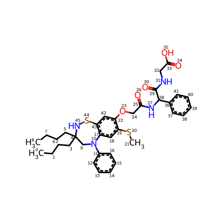 CCCCC1(CCCC)CN(c2ccccc2)c2cc(SC)c(OCC(=O)NC(C(=O)NCC(=O)O)c3ccccc3)cc2SN1